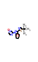 CC(C)(C)c1cnc(-c2nn(-c3c[n+]([O-])ccn3)c3c2CC2CCC3O2)s1